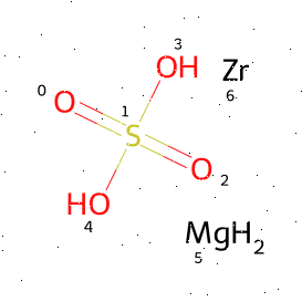 O=S(=O)(O)O.[MgH2].[Zr]